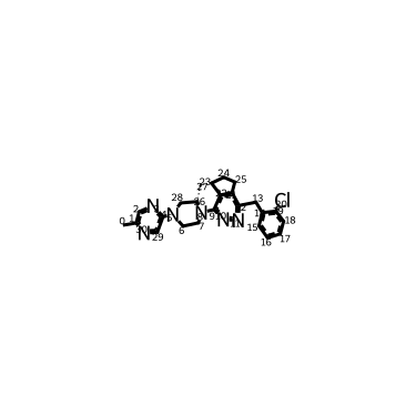 Cc1cnc(N2CCN(c3nnc(Cc4ccccc4Cl)c4c3CCC4)[C@@H](C)C2)cn1